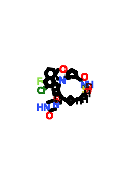 CO[C@@]1(CN2CCNC(=O)C2)C2=C[C@@H](C2)[C@H](C)[C@@H](C)S(=O)(=O)NC(=O)c2ccc3c(c2)N(C[C@@H]2CC[C@H]21)C[C@@]1(CCCc2c1ccc(Cl)c2F)CO3